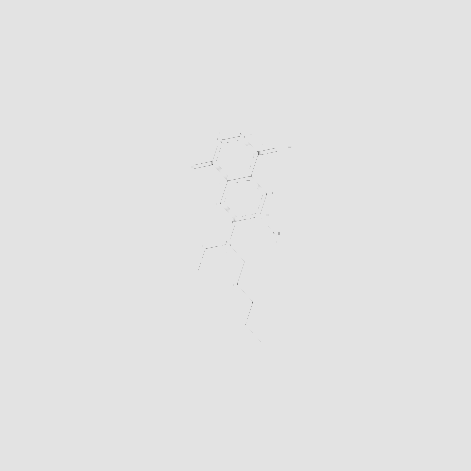 CCCCCN(CC)c1cc2c(=O)[nH][nH]c(=O)c2cc1N